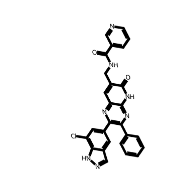 O=C(NCc1cc2nc(-c3cc(Cl)c4[nH]ncc4c3)c(-c3ccccc3)nc2[nH]c1=O)c1cccnc1